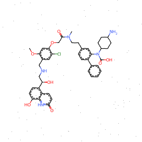 COc1cc(OCC(=O)N(C)CCc2ccc(-c3ccccc3)c(N(C(=O)O)C3CCC(N)CC3)c2)c(Cl)cc1CNC[C@@H](O)c1ccc(O)c2[nH]c(=O)ccc12